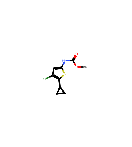 CC(C)(C)OC(=O)Nc1cc(Cl)c(C2CC2)s1